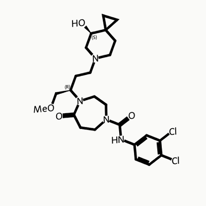 COC[C@@H](CCN1CCC2(CC2)[C@H](O)C1)N1CCN(C(=O)Nc2ccc(Cl)c(Cl)c2)CCC1=O